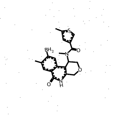 Bc1cc2c3c([nH]c(=O)c2cc1C)COCC3N(C)C(=O)c1csc(C)c1